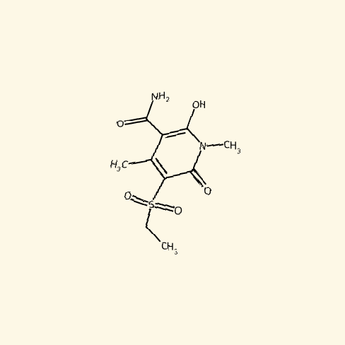 CCS(=O)(=O)c1c(C)c(C(N)=O)c(O)n(C)c1=O